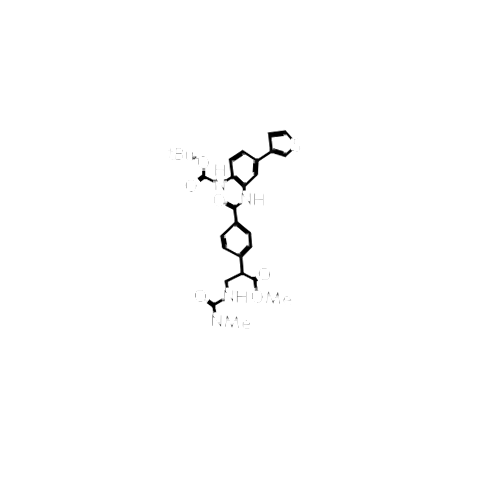 CNC(=O)NCC(C(=O)OC)c1ccc(C(=O)Nc2cc(-c3ccsc3)ccc2NC(=O)OC(C)(C)C)cc1